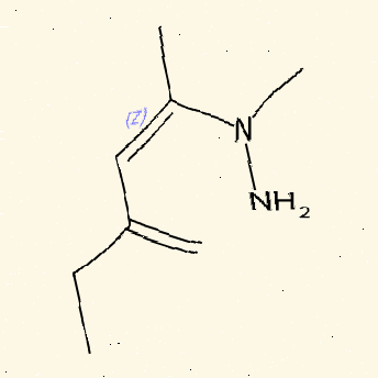 C=C(/C=C(/C)N(C)N)CC